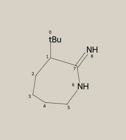 CC(C)(C)C1CCCCNC1=N